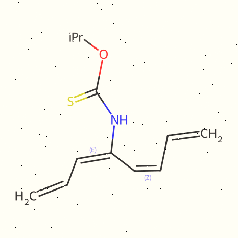 C=C/C=C\C(=C/C=C)NC(=S)OC(C)C